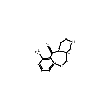 O=C1c2c(cccc2C(F)(F)F)OCC2CNCCN12